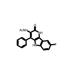 CC(=O)Nc1c(-c2ccccc2)c2[nH]c3ccc(F)cc3c2[nH]c1=O